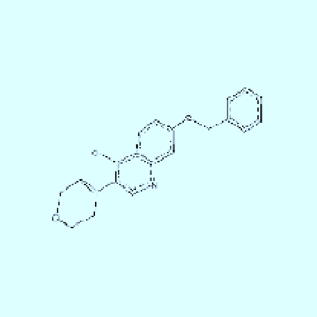 Clc1c(C2=CCOCC2)cnc2cc(OCc3ccccc3)ccc12